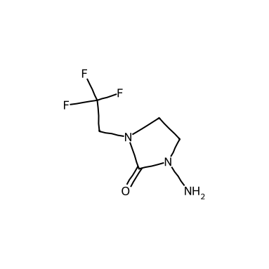 NN1CCN(CC(F)(F)F)C1=O